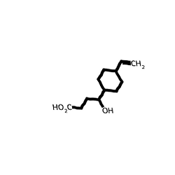 C=CC1CCC(C(O)CCC(=O)O)CC1